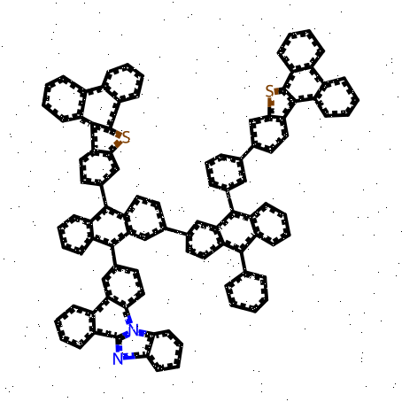 c1ccc(-c2c3ccccc3c(-c3cccc(-c4ccc5c(c4)sc4c6ccccc6c6ccccc6c54)c3)c3cc(-c4ccc5c(-c6ccc7c(c6)sc6c8ccccc8c8ccccc8c76)c6ccccc6c(-c6ccc7c(c6)c6ccccc6c6nc8ccccc8n76)c5c4)ccc23)cc1